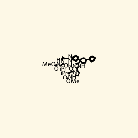 COC(=O)NC(C(=O)N1CCCC1c1ncc(C2(c3ccc4nc(C5CCN5C(=O)C(NC(=O)OC)C(C)C)[nH]c4c3)C=CC(c3ccccc3)C=C2)[nH]1)C(C)C